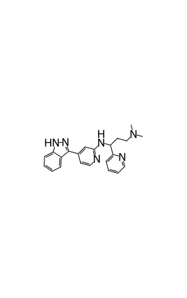 CN(C)CCC(Nc1cc(-c2n[nH]c3ccccc23)ccn1)c1ccccn1